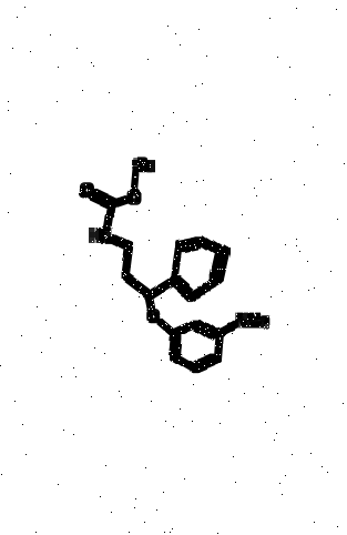 CNc1cccc(OC(CCNC(=O)OC(C)(C)C)c2ccccc2)c1